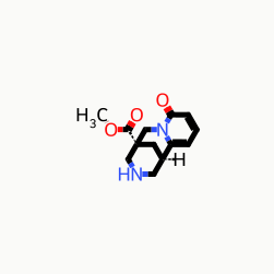 COC(=O)[C@@]12CNC[C@@H](C1)c1cccc(=O)n1C2